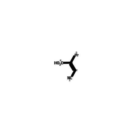 CC(C)C(=CC#N)C(=O)O